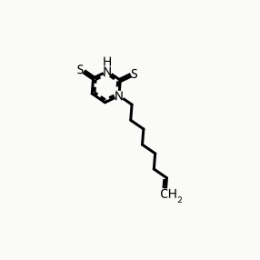 C=CCCCCCCn1ccc(=S)[nH]c1=S